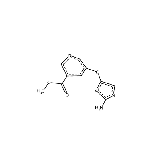 COC(=O)c1cncc(Oc2cnc(N)s2)c1